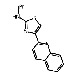 CC(C)Nc1nc(-c2c[c]c3ccccc3n2)cs1